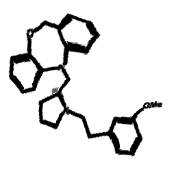 COc1cccc(CCN2CCC[C@H]2CN2c3ccccc3COc3ccccc32)c1